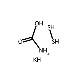 NC(=O)O.SS.[KH]